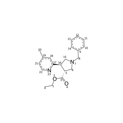 CCOC(=O)[C@H]1CN(Cc2ccccc2)C[C@@H]1c1cc(C)ccn1